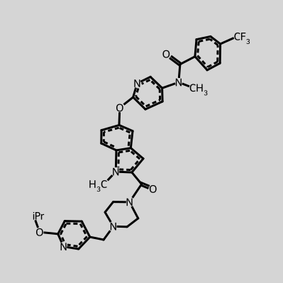 CC(C)Oc1ccc(CN2CCN(C(=O)c3cc4cc(Oc5ccc(N(C)C(=O)c6ccc(C(F)(F)F)cc6)cn5)ccc4n3C)CC2)cn1